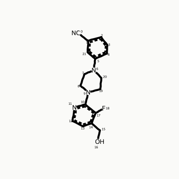 N#Cc1cccc(N2CCN(c3nccc(CO)c3F)CC2)c1